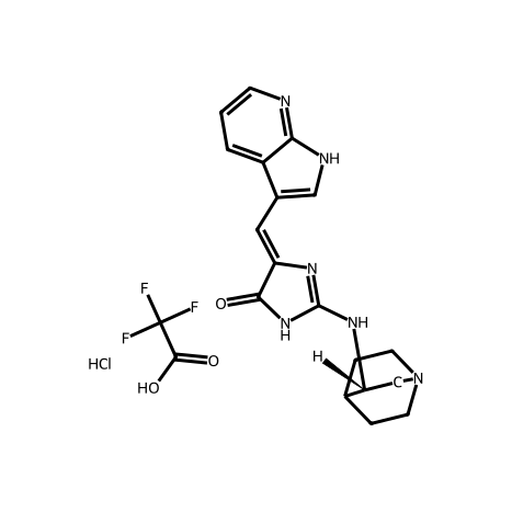 Cl.O=C(O)C(F)(F)F.O=C1NC(N[C@@H]2CN3CCC2CC3)=NC1=Cc1c[nH]c2ncccc12